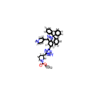 CC(C)(C)OC(=O)N1CCCC(c2nc(-c3ccc4c(c3)c(-c3ccncc3)nn4C(c3ccccc3)(c3ccccc3)c3ccccc3)n[nH]2)C1